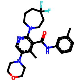 Cc1cccc(NC(=O)c2c(N3CCCC(F)(F)CC3)ncc(N3CCOCC3)c2C)c1